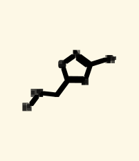 CCNCc1nc(C(C)C)no1